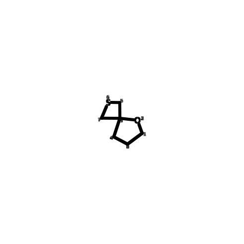 C1COC2(C1)CSC2